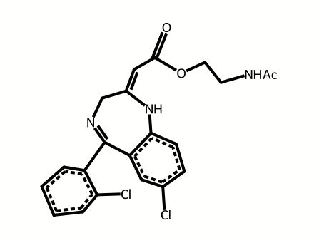 CC(=O)NCCOC(=O)C=C1CN=C(c2ccccc2Cl)c2cc(Cl)ccc2N1